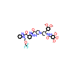 CCC(CC(CNC(=O)c1cc(OC)c(OC)c(OC)c1)c1ccc(OC)c(OC)c1)N1CCC(C(=O)c2nc3c(C(=O)c4nc5ccccc5n4CCOCC(F)(F)F)cccc3[nH]2)CC1